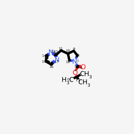 CC(C)(C)OC(=O)N1CCC(Cc2ncccn2)C1